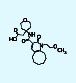 COCCn1c2c(cc(C(=O)NC3(CC(=O)O)CCOCC3)c1=O)CCCCCC2